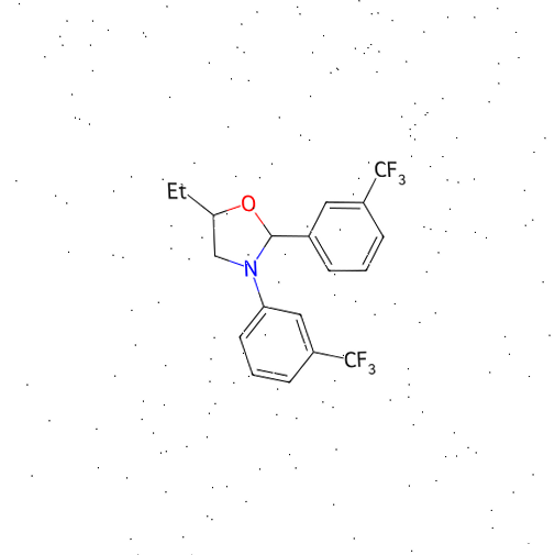 CCC1CN(c2cccc(C(F)(F)F)c2)C(c2cccc(C(F)(F)F)c2)O1